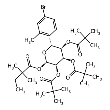 CCC(C)(C)C(=O)O[C@H]1O[C@H](c2ccc(Br)cc2C)[C@@H](OC(=O)C(C)(C)C)[C@@H](OC(=O)C(C)(C)C)[C@H]1OC(=O)C(C)(C)C